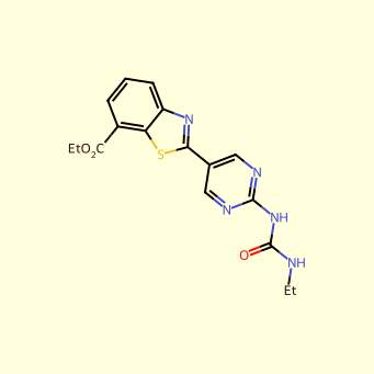 CCNC(=O)Nc1ncc(-c2nc3cccc(C(=O)OCC)c3s2)cn1